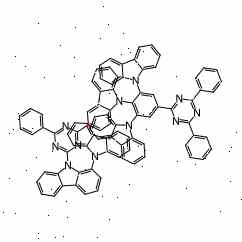 c1ccc(-c2nc(-c3ccccc3)nc(-c3cc(-n4c5ccccc5c5ccccc54)c(-n4c5ccccc5c5cc(-c6nc(-c7ccccc7)nc(-n7c8ccccc8c8cccc(-n9c%10ccccc%10c%10ccccc%109)c87)n6)ccc54)c(-n4c5ccccc5c5ccccc54)c3)n2)cc1